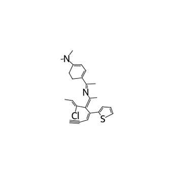 C#C\C=C(/C(C(Cl)=CC)=C(C)/N=C(\C)C1=CC=C(N(C)C)CC1)c1cccs1